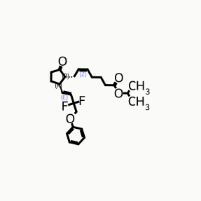 CC(C)OC(=O)CCC/C=C\C[C@H]1C(=O)CC[C@@H]1/C=C/C(F)(F)COc1ccccc1